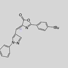 CC(C)(C)c1ccc(C2=N/C(=C\c3cnn(-c4ccccc4)c3)C(=O)O2)cc1